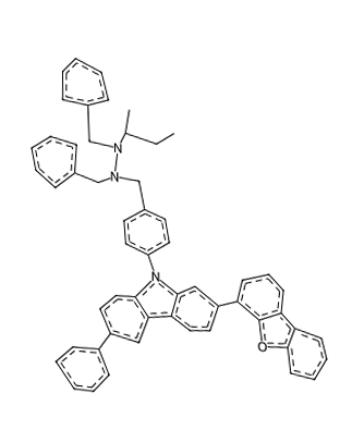 CCC(C)N(Cc1ccccc1)N(Cc1ccccc1)Cc1ccc(-n2c3ccc(-c4ccccc4)cc3c3ccc(-c4cccc5c4oc4ccccc45)cc32)cc1